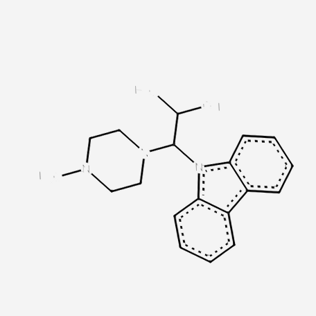 CC(O)C(N1CCN(C)CC1)n1c2ccccc2c2ccccc21